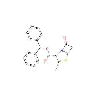 CC1SC2CC(=O)N2C1C(=O)OC(c1ccccc1)c1ccccc1